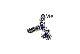 COc1ccc(-c2ccc(N(c3ccc(C4=CC(n5c6ccccc6c6ccccc65)CC=C4)cc3)c3ccc(-c4ccc(-c5ccccc5)cc4)cc3)cc2)cc1